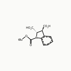 CC(C)(C)OC(=O)N1c2ccccc2[C@H](C(=O)O)[C@H]1C(=O)O